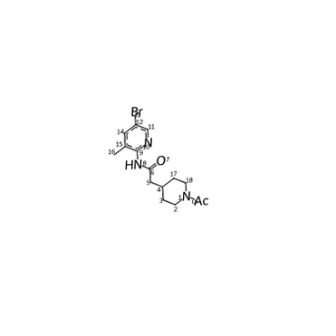 CC(=O)N1CCC(CC(=O)Nc2ncc(Br)cc2C)CC1